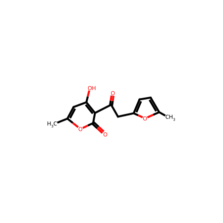 Cc1ccc(CC(=O)c2c(O)cc(C)oc2=O)o1